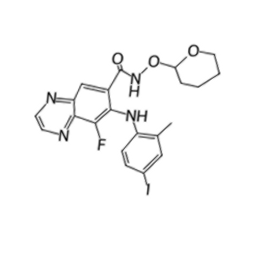 Cc1cc(I)ccc1Nc1c(C(=O)NOC2CCCCO2)cc2nccnc2c1F